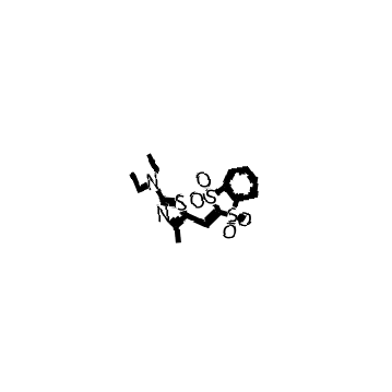 CCN(CC)c1nc(C)c(C=C2S(=O)(=O)c3ccccc3S2(=O)=O)s1